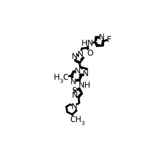 Cc1cn2c(-c3cnn(CC(=O)Nc4ccc(F)nc4)c3)cnc2c(Nc2cc(CN3CCCC(C)C3)ns2)n1